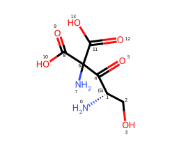 N[C@@H](CO)C(=O)C(N)(C(=O)O)C(=O)O